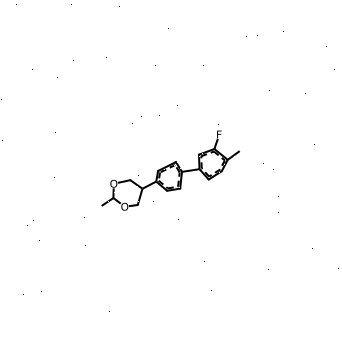 Cc1ccc(-c2ccc(C3COC(C)OC3)cc2)cc1F